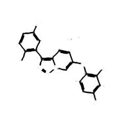 Cc1ccc(C(=O)O)cc1-c1nnn2cc(Sc3ccc(F)cc3F)ccc12.Cl